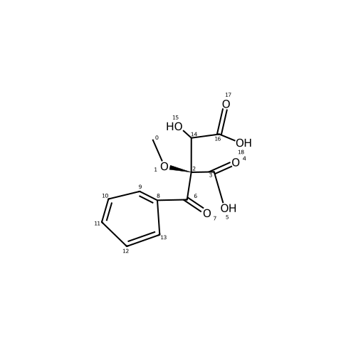 CO[C@@](C(=O)O)(C(=O)c1ccccc1)C(O)C(=O)O